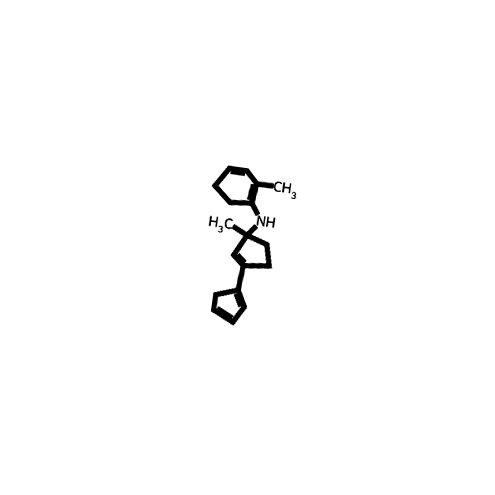 CC1=C(NC2(C)C=C(C3=CC=CC3)CC2)CCC=C1